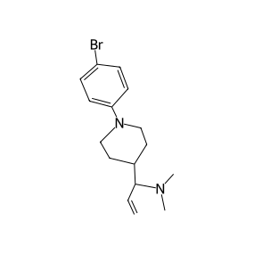 C=CC(C1CCN(c2ccc(Br)cc2)CC1)N(C)C